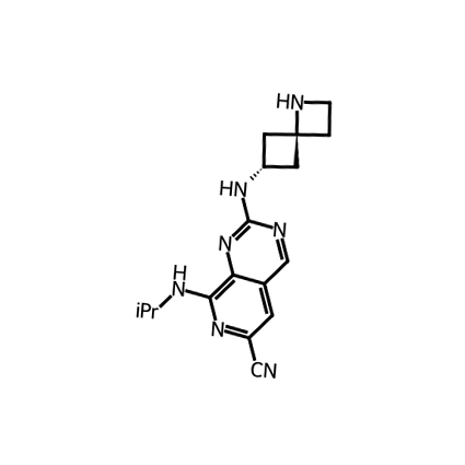 CC(C)Nc1nc(C#N)cc2cnc(N[C@H]3C[C@@]4(CCN4)C3)nc12